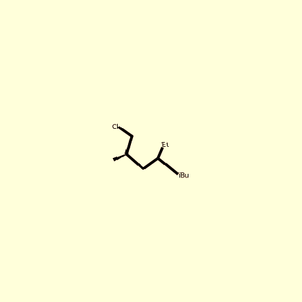 CCC(C)C(CC)C[C@@H](C)CCl